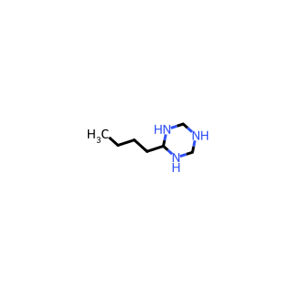 CCCCC1NCNCN1